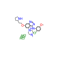 COc1ccc(Cl)c(Nc2ncnc3cc(OCCC4CCCN4)cc(N4CCN(C)CC4)c23)c1.Cl.Cl.Cl